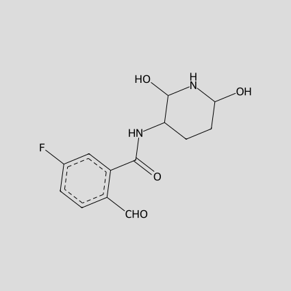 O=Cc1ccc(F)cc1C(=O)NC1CCC(O)NC1O